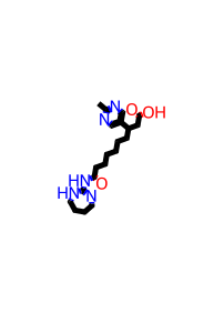 Cc1ncc(C(CCCCCCC(=O)NC2=NCCCCN2)CC(=O)O)cn1